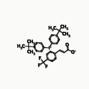 CC(C)(C)c1ccc([I+]c2ccc(C(C)(C)C)cc2)cc1.O=C([O-])C=Cc1ccc(C(F)(F)F)cc1